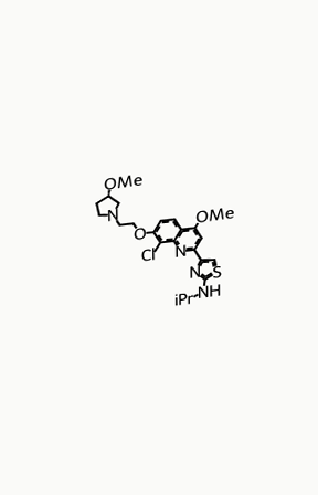 COc1cc(-c2csc(NC(C)C)n2)nc2c(Cl)c(OCCN3CC[C@@H](OC)C3)ccc12